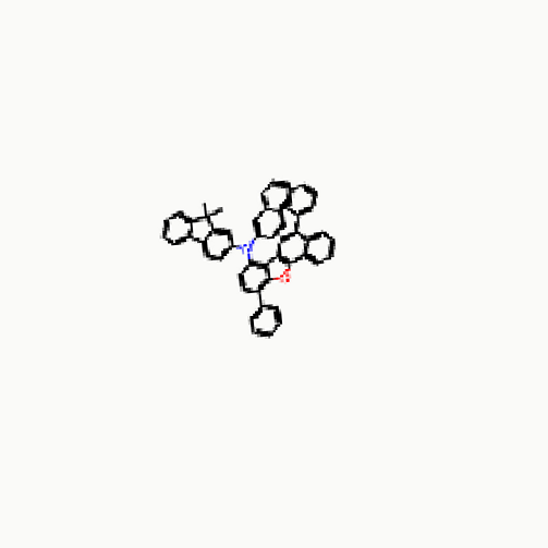 CC1(C)c2ccccc2-c2ccc(N(c3ccc4ccccc4c3)c3ccc(-c4ccccc4)c4oc5c6ccccc6c(-c6ccccc6)cc5c34)cc21